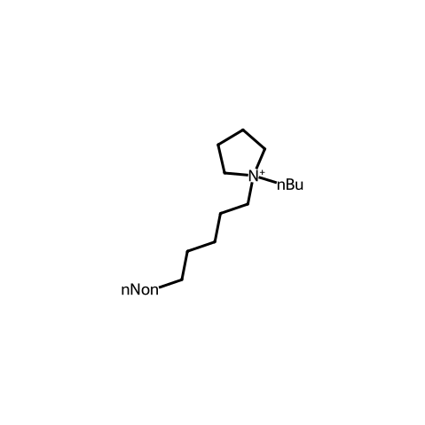 CCCCCCCCCCCCCC[N+]1(CCCC)CCCC1